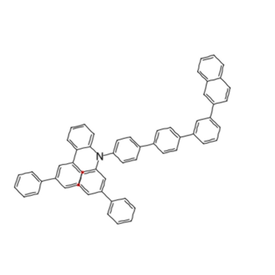 c1ccc(-c2cccc(-c3ccccc3N(c3ccc(-c4ccc(-c5cccc(-c6ccc7ccccc7c6)c5)cc4)cc3)c3cccc(-c4ccccc4)c3)c2)cc1